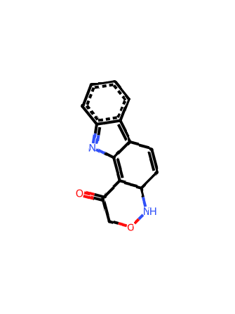 O=C1CONC2C=CC3=c4ccccc4=NC3=C12